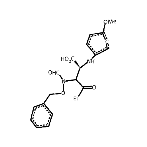 CCC(=O)C([C@H](Nc1ccc(OC)cc1)C(=O)O)N(C=O)OCc1ccccc1